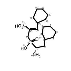 N[C@@H](CC1CCCCC1)P(=O)(O)CC(=CC1CCCCC1)C(=O)O